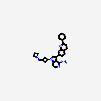 Nc1nccc2c1c(-c1ccc3ccc(-c4ccccc4)nc3c1)cn2C1CC(CN2CCC2)C1